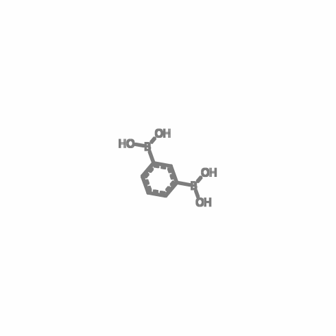 OB(O)c1cccc(B(O)O)c1